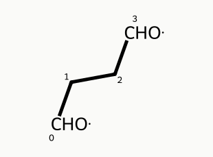 O=[C]CC[C]=O